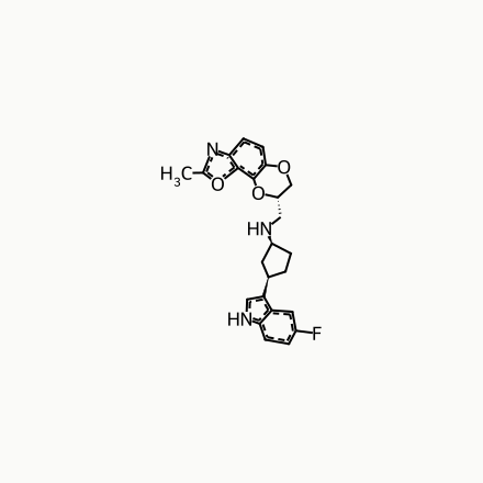 Cc1nc2ccc3c(c2o1)O[C@@H](CN[C@H]1CC[C@@H](c2c[nH]c4ccc(F)cc24)C1)CO3